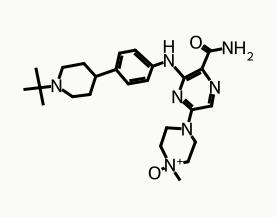 CC(C)(C)N1CCC(c2ccc(Nc3nc(N4CC[N+](C)([O-])CC4)cnc3C(N)=O)cc2)CC1